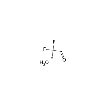 O.O=CC(F)(F)F